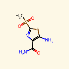 CS(=O)(=O)c1nc(C(N)=O)c(N)s1